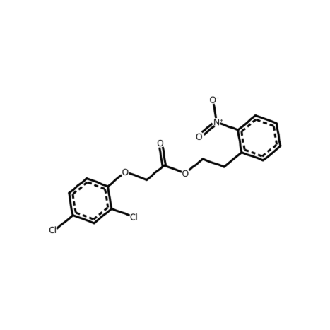 O=C(COc1ccc(Cl)cc1Cl)OCCc1ccccc1[N+](=O)[O-]